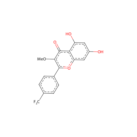 COc1c(-c2ccc(C(F)(F)F)cc2)oc2cc(O)cc(O)c2c1=O